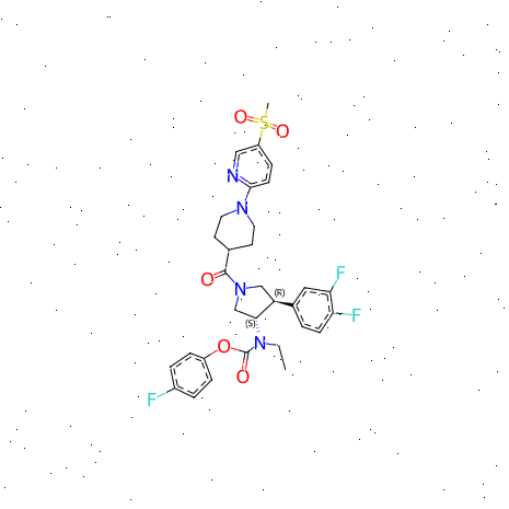 CCN(C(=O)Oc1ccc(F)cc1)[C@@H]1CN(C(=O)C2CCN(c3ccc(S(C)(=O)=O)cn3)CC2)C[C@H]1c1ccc(F)c(F)c1